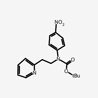 CC(C)(C)OC(=O)N(CCc1ccccn1)c1ccc([N+](=O)[O-])cc1